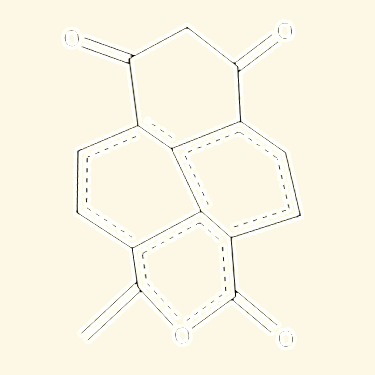 C=c1oc(=O)c2ccc3c4c(ccc1c42)C(=O)CC3=O